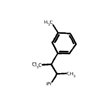 Cc1cccc(C(C(C)C(C)C)C(Cl)(Cl)Cl)c1